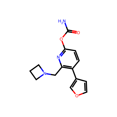 NC(=O)Oc1ccc(-c2ccoc2)c(CN2CCC2)n1